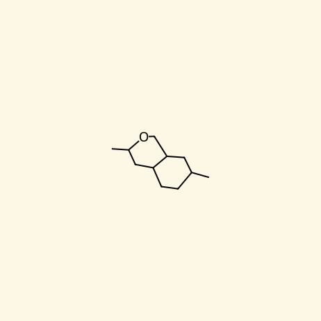 CC1CCC2CC(C)OCC2C1